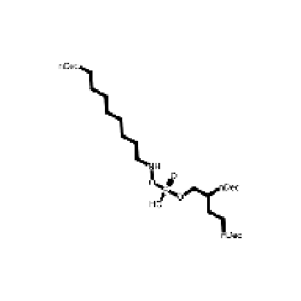 CCCCCCCCCCCCCCCCCCNOP(=O)(O)OCC(CCCCCCCCCC)CCCCCCCCCCCC